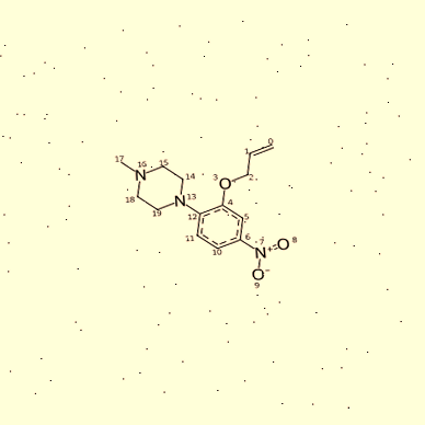 C=CCOc1cc([N+](=O)[O-])ccc1N1CCN(C)CC1